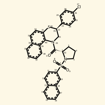 O=C([C@@H]1CCCN1S(=O)(=O)c1ccc2ccccc2c1)N1C[C@H](c2ccc(Cl)cc2)Sc2ccc3ccccc3c21